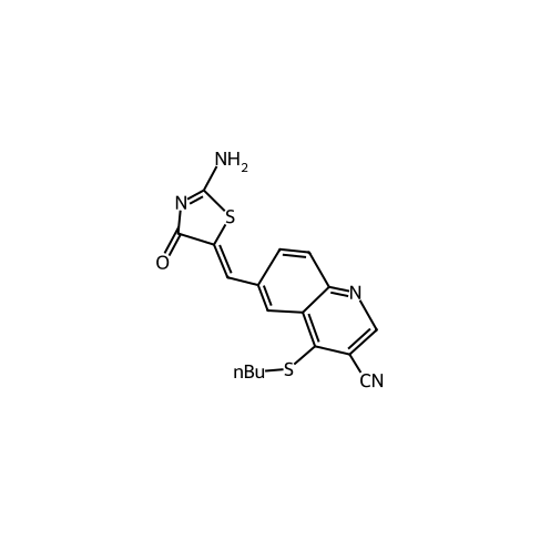 CCCCSc1c(C#N)cnc2ccc(/C=C3\SC(N)=NC3=O)cc12